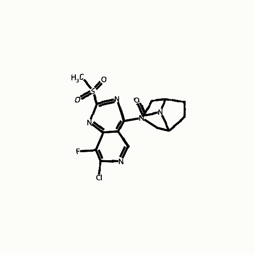 CS(=O)(=O)c1nc(N2CC3CCC(C2)N3C=O)c2cnc(Cl)c(F)c2n1